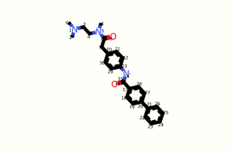 CN(C)CCN(C)C(=O)Cc1ccc([N]C(=O)c2ccc(-c3ccccc3)cc2)cc1